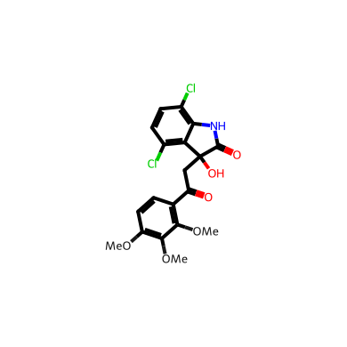 COc1ccc(C(=O)CC2(O)C(=O)Nc3c(Cl)ccc(Cl)c32)c(OC)c1OC